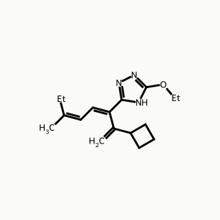 C=C(/C(=C\C=C(\C)CC)c1nnc(OCC)[nH]1)C1CCC1